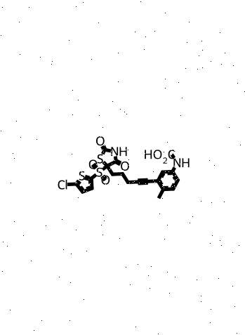 Cc1ccc(NC(=O)O)cc1C#CCCCC1(S(=O)(=O)c2ccc(Cl)s2)SC(=O)NC1=O